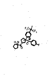 NC1(C(=O)N2CC[C@](c3ccc(C(F)(C(F)(F)F)C(F)(F)F)cc3)(S(=O)(=O)c3ccc(F)cc3)C2)CCCC1